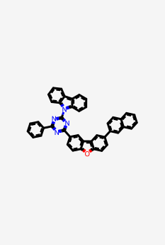 c1ccc(-c2nc(-c3ccc4oc5ccc(-c6ccc7ccccc7c6)cc5c4c3)nc(-n3c4ccccc4c4ccccc43)n2)cc1